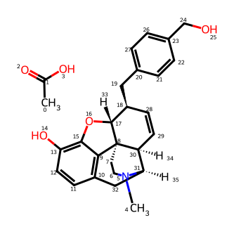 CC(=O)O.CN1CC[C@]23c4c5ccc(O)c4O[C@@H]2[C@@H](Cc2ccc(CO)cc2)C=C[C@H]3[C@H]1C5